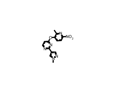 Cc1nc([N+](=O)[O-])ccc1Oc1ccnc(-c2cnn(C)c2)n1